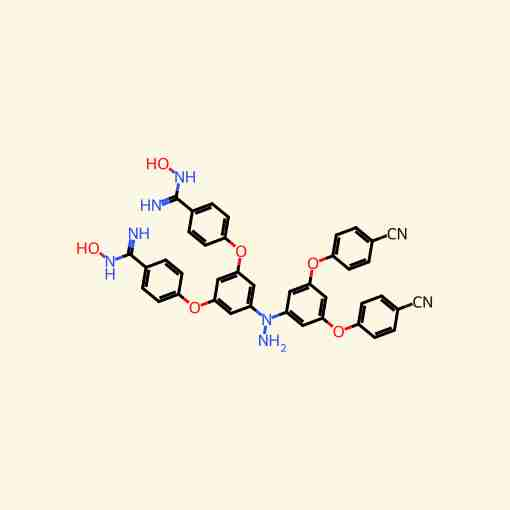 N#Cc1ccc(Oc2cc(Oc3ccc(C#N)cc3)cc(N(N)c3cc(Oc4ccc(C(=N)NO)cc4)cc(Oc4ccc(C(=N)NO)cc4)c3)c2)cc1